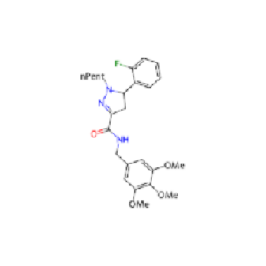 CCCCCN1N=C(C(=O)NCc2cc(OC)c(OC)c(OC)c2)CC1c1ccccc1F